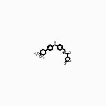 CC1(C)CCC(c2ccc(Nc3ccc(CNC(=O)C4CNC(=O)C4)cc3)cc2)CC1